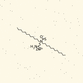 CCCCCCCCCCCCN(CCCCCCCCCCCC)C([O-])=S.NC([O-])=S.[Zn+2]